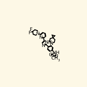 CS(=O)(=O)Nc1ccc(-c2ncc(-c3cccc(N4CCC(F)(F)CC4)n3)[nH]2)c(N2CCC3(CC2)CC3)c1